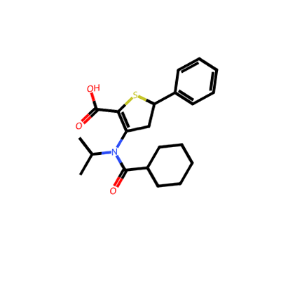 CC(C)N(C(=O)C1CCCCC1)C1=C(C(=O)O)SC(c2ccccc2)C1